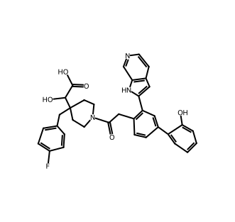 O=C(O)C(O)C1(Cc2ccc(F)cc2)CCN(C(=O)Cc2ccc(-c3ccccc3O)cc2-c2cc3ccncc3[nH]2)CC1